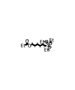 CCO[Si](CCCCCCOC(=O)CC)(OCC)OCC